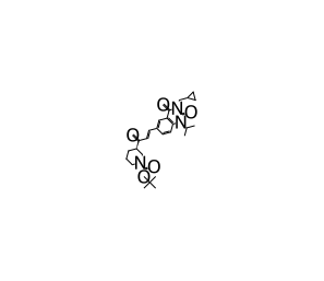 CC(C)n1c(=O)n(CC2CC2)c(=O)c2cc(/C=C/C(=O)[C@@H]3CCCN(C(=O)OC(C)(C)C)C3)ccc21